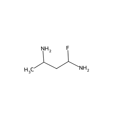 CC(N)CC(N)F